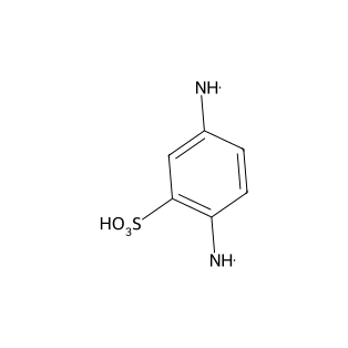 [NH]c1ccc([NH])c(S(=O)(=O)O)c1